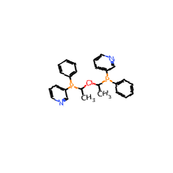 CC(OC(C)P(c1ccccc1)c1cccnc1)P(c1ccccc1)c1cccnc1